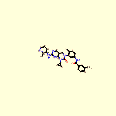 Cc1ccc(NC(=O)c2cccc(C(F)(F)F)c2)cc1N1Cc2cnc(Nc3cccnc3C)nc2N(C2CC2)C1=O